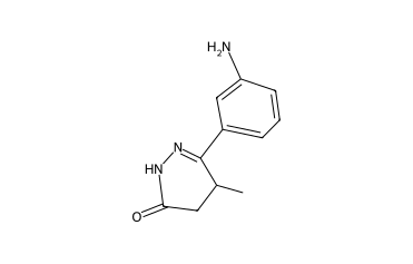 CC1CC(=O)NN=C1c1cccc(N)c1